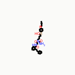 CC#CCOc1ccc(SC(O)CCCCN(C(N)=O)C(=O)CNC(=O)c2ccccc2CCc2ccccc2)cc1